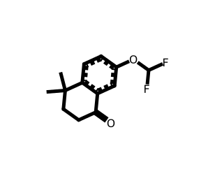 CC1(C)CCC(=O)c2cc(OC(F)F)ccc21